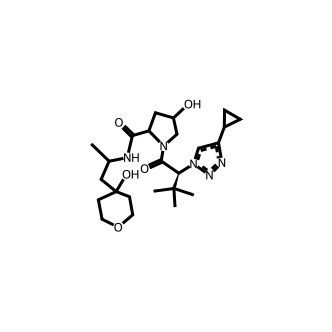 CC(CC1(O)CCOCC1)NC(=O)C1CC(O)CN1C(=O)[C@@H](n1cc(C2CC2)nn1)C(C)(C)C